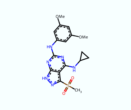 COc1cc(Nc2nc(NC3CC3)c3c(S(C)(=O)=O)n[nH]c3n2)cc(OC)c1